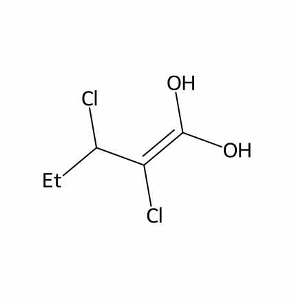 CCC(Cl)C(Cl)=C(O)O